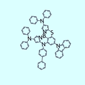 c1ccc(-c2ccc(N3c4cc(-n5c6ccccc6c6ccccc65)cc5c4B(n4cc(N(c6ccccc6)c6ccccc6)cc4S5)n4cc(N(c5ccccc5)c5ccccc5)cc43)cc2)cc1